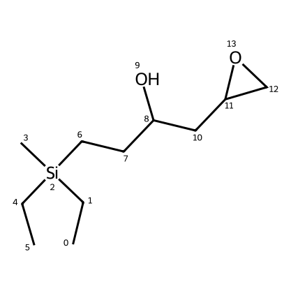 CC[Si](C)(CC)CCC(O)CC1CO1